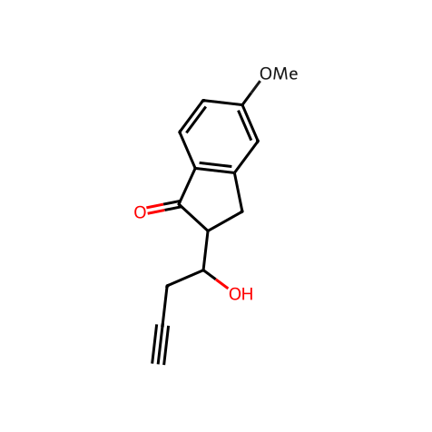 C#CCC(O)C1Cc2cc(OC)ccc2C1=O